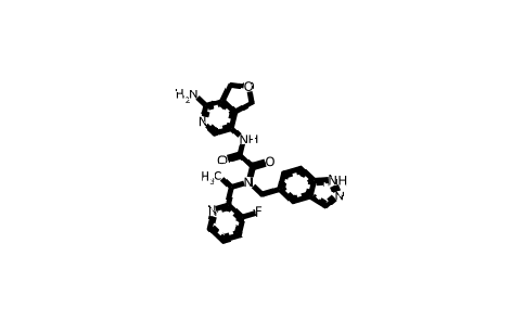 CC(c1ncccc1F)N(Cc1ccc2[nH]ncc2c1)C(=O)C(=O)Nc1cnc(N)c2c1COC2